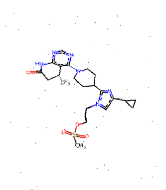 CS(=O)(=O)OCCn1cc(C2CC2)nc1C1CCN(c2ncnc3c2[C@H](C(F)(F)F)CC(=O)N3)CC1